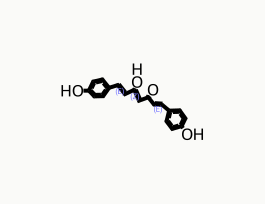 O=C(/C=C(O)/C=C/c1ccc(O)cc1)/C=C/c1ccc(O)cc1